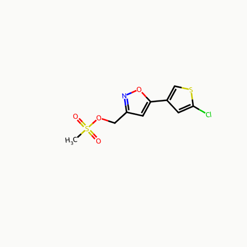 CS(=O)(=O)OCc1cc(-c2csc(Cl)c2)on1